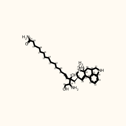 CN1C[C@H](CC(O)(C=CCCCCCCCCCCCCC(N)=O)C(N)CO)C=C2c3cccc4c3C(CN4)C[C@H]21